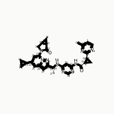 Cc1ccnc([C@H]2C[C@@H]2C(=O)Nc2cc(N[C@H](C)c3cc4cc(C5CC5)cc(N5CC6CC6C5=O)n4n3)ncn2)n1